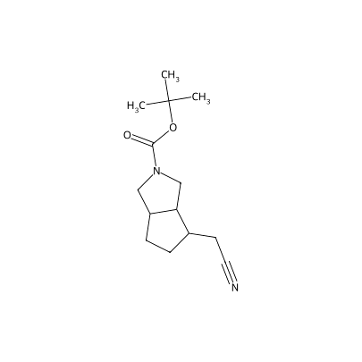 CC(C)(C)OC(=O)N1CC2CCC(CC#N)C2C1